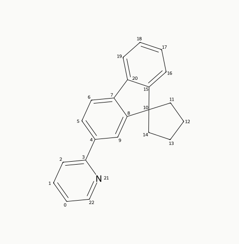 c1ccc(-c2ccc3c(c2)C2(CCCC2)c2ccccc2-3)nc1